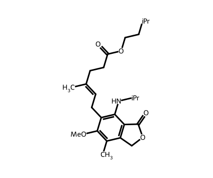 COc1c(C)c2c(c(NC(C)C)c1C/C=C(\C)CCC(=O)OCCC(C)C)C(=O)OC2